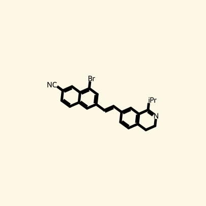 CC(C)C1=NCCc2ccc(/C=C/c3cc(Br)c4cc(C#N)ccc4c3)cc21